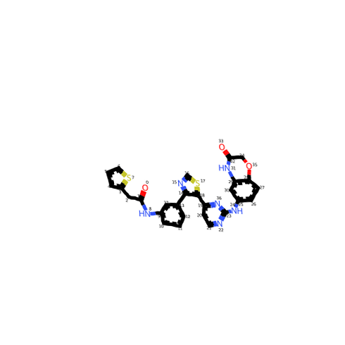 O=C(Cc1cccs1)Nc1cccc(-c2ncsc2-c2ccnc(Nc3ccc4c(c3)NC(=O)CO4)n2)c1